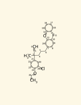 C#CC(C)(CCCc1ccc(F)c(Oc2ccccc2)c1)c1ccc(OCC)c(Cl)c1